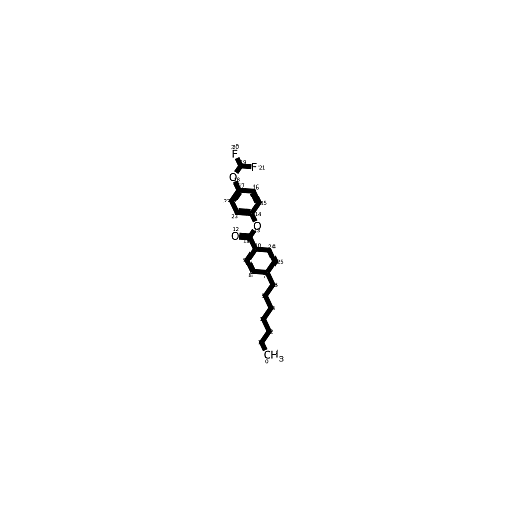 CCCCCCCC1CCC(C(=O)Oc2ccc(OC(F)F)cc2)CC1